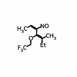 C/C=C(N=O)\C(OCC(F)(F)F)=C(/C)CC